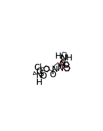 Cc1nc2ccccc2n1[C@H]1C[C@H]2CC[C@@H](C1)N2CCC1(c2ccccc2)CCN(C(=O)c2ccc(Cl)c(S(=O)(=O)NC3CC3)c2)CC1